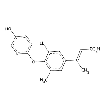 CC(=CC(=O)O)c1cc(C)c(Oc2ccc(O)cn2)c(Cl)c1